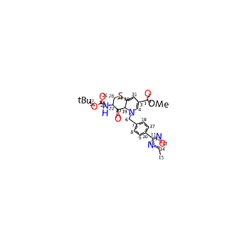 COC(=O)C1=CN(Cc2ccc(-c3noc(C)n3)cc2)C2C(=O)[C@@H](NC(=O)OC(C)(C)C)CSC2=C1